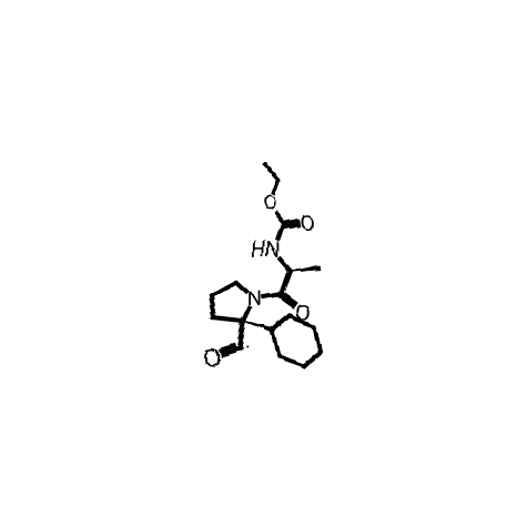 CCOC(=O)N[C@@H](C)C(=O)N1CCC[C@]1([C]=O)C1CCCCC1